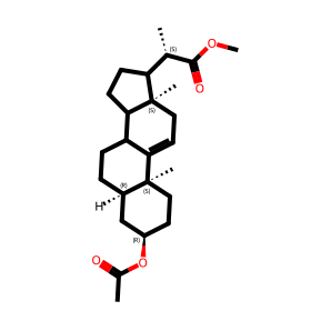 COC(=O)[C@@H](C)C1CCC2C3CC[C@@H]4C[C@H](OC(C)=O)CC[C@]4(C)C3=CC[C@@]21C